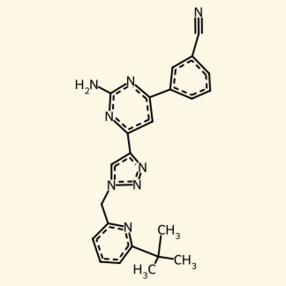 CC(C)(C)c1cccc(Cn2cc(-c3cc(-c4cccc(C#N)c4)nc(N)n3)nn2)n1